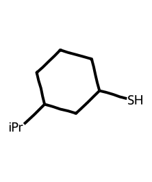 CC(C)C1CCCC(S)C1